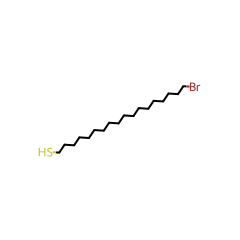 SCCCCCCCCCCCCCCCCCCBr